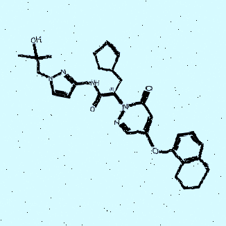 CC(C)(O)Cn1ccc(NC(=O)[C@@H](CC2CCCC2)n2ncc(Oc3cccc4c3CCCC4)cc2=O)n1